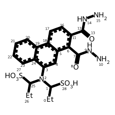 CCC(N(c1cc2c(C(=O)NN)c(C(=O)NN)ccc2c2ccccc12)C(CC)S(=O)(=O)O)S(=O)(=O)O